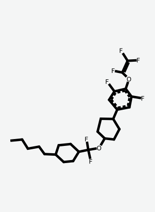 CCCCCC1CCC(C(F)(F)OC2CCC(c3cc(F)c(OC(F)=C(F)F)c(F)c3)CC2)CC1